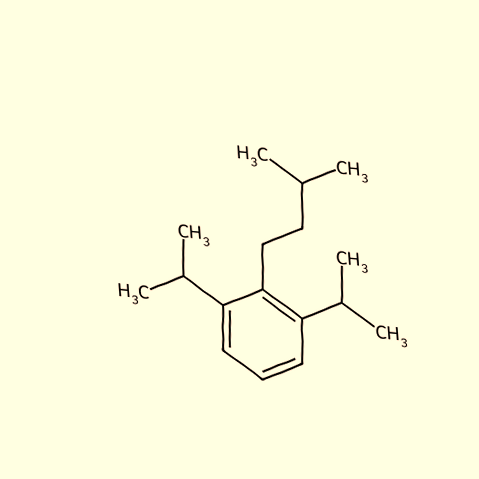 CC(C)CCc1c(C(C)C)cccc1C(C)C